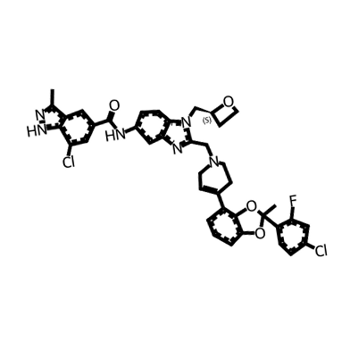 Cc1n[nH]c2c(Cl)cc(C(=O)Nc3ccc4c(c3)nc(CN3CC=C(c5cccc6c5OC(C)(c5ccc(Cl)cc5F)O6)CC3)n4C[C@@H]3CCO3)cc12